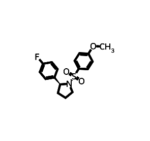 COc1ccc(S(=O)(=O)N2CCC[C@H]2c2ccc(F)cc2)cc1